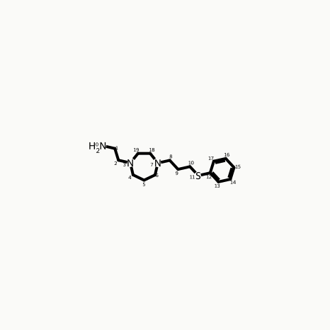 NCCN1CCCN(CCCSc2ccccc2)CC1